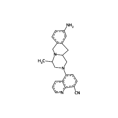 CC1CN(c2ccc(C#N)c3ncccc23)CC2Cc3cc(N)ccc3CN12